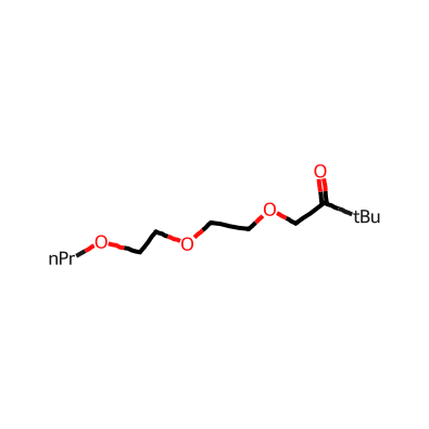 CCCOCCOCCOCC(=O)C(C)(C)C